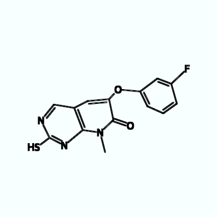 Cn1c(=O)c(Oc2cccc(F)c2)cc2cnc(S)nc21